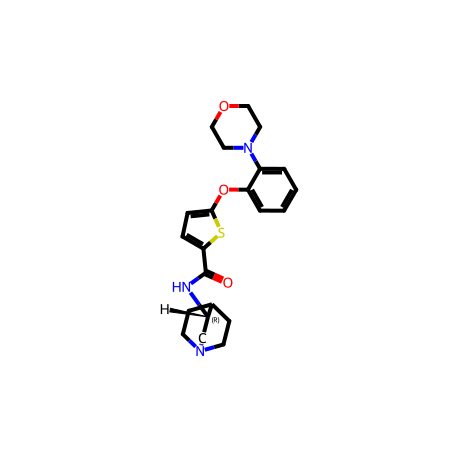 O=C(N[C@H]1CN2CCC1CC2)c1ccc(Oc2ccccc2N2CCOCC2)s1